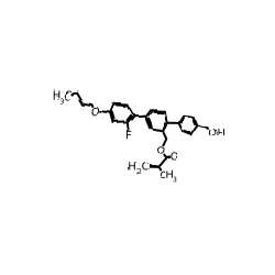 C=C(C)C(=O)OCc1cc(-c2ccc(OCCCC)cc2F)ccc1-c1ccc(CO)cc1